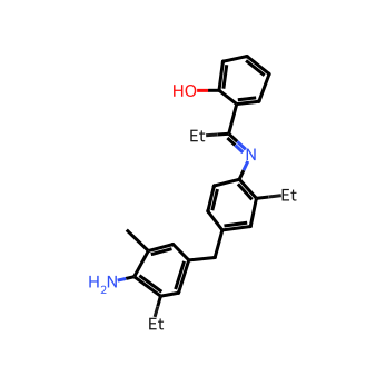 CC/C(=N\c1ccc(Cc2cc(C)c(N)c(CC)c2)cc1CC)c1ccccc1O